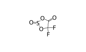 O=C1OS(=O)OC1(F)F